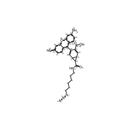 [N-]=[N+]=NCCCCCCNC(=O)C1C2C=C(C(=O)O)C(c3c4ccc(=N)cc-4oc4cc(N)ccc34)=CC21